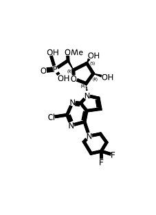 COC([C@@H]1O[C@@H](n2ccc3c(N4CCC(F)(F)CC4)nc(Cl)nc32)[C@H](O)[C@@H]1O)P(=O)(O)O